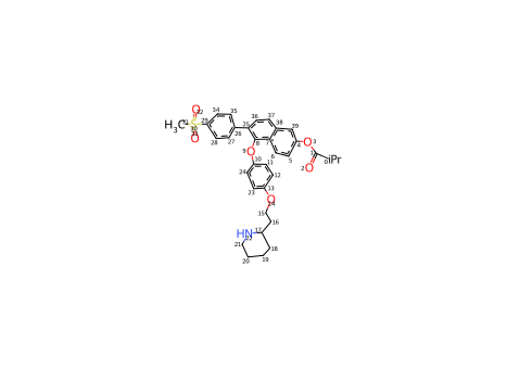 CC(C)C(=O)Oc1ccc2c(Oc3ccc(OCCC4CCCCN4)cc3)c(-c3ccc(S(C)(=O)=O)cc3)ccc2c1